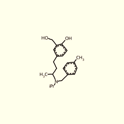 Cc1ccc(CN(C(C)C)C(C)CCc2ccc(O)c(CO)c2)cc1